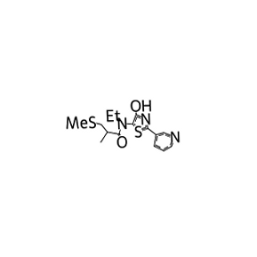 CCN(C(=O)C(C)CSC)c1sc(-c2cccnc2)nc1O